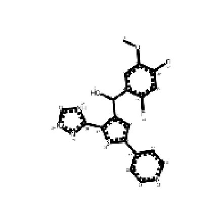 COc1cc(C(O)c2cc(-c3ccncc3)sc2-c2nnc[nH]2)c(F)cc1Cl